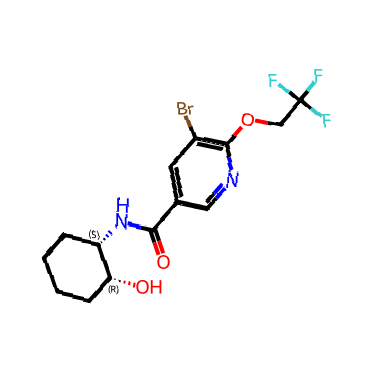 O=C(N[C@H]1CCCC[C@H]1O)c1cnc(OCC(F)(F)F)c(Br)c1